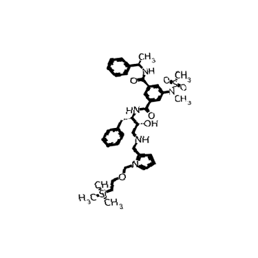 C[C@@H](NC(=O)c1cc(C(=O)N[C@@H](Cc2ccccc2)[C@H](O)CNCc2cccn2COCC[Si](C)(C)C)cc(N(C)S(C)(=O)=O)c1)c1ccccc1